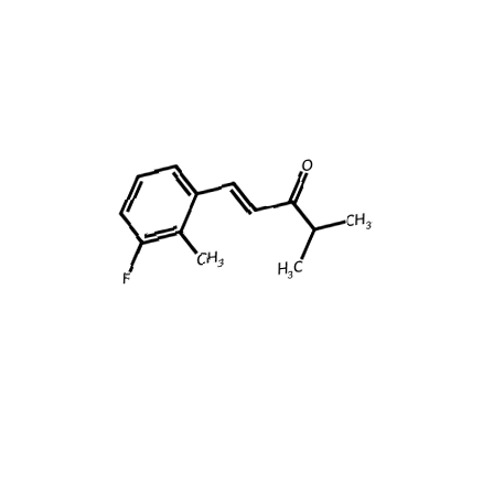 Cc1c(F)cccc1C=CC(=O)C(C)C